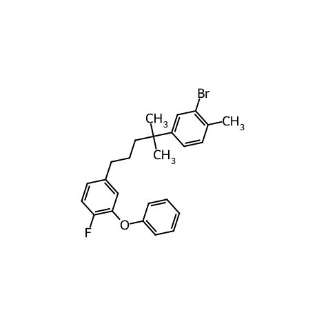 Cc1ccc(C(C)(C)CCCc2ccc(F)c(Oc3ccccc3)c2)cc1Br